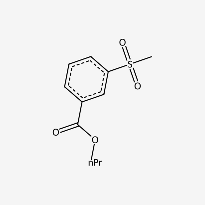 CCCOC(=O)c1cccc(S(C)(=O)=O)c1